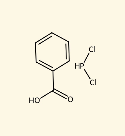 ClPCl.O=C(O)c1ccccc1